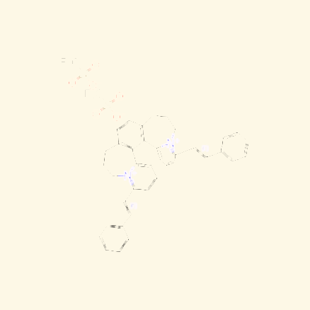 C(=C\c1cccc2[n+]1CCCc1ccc3c(c1-2)-c1cccc(/C=C/c2ccccc2)[n+]1CCC3)/c1ccccc1.O=S(=O)([O-])C(F)(F)F.O=S(=O)([O-])C(F)(F)F